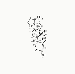 C=C1CCO[C@@]12CC[C@H]1[C@@H]3CCC4=C[C@H](O)CC[C@@H]4[C@H]3CC[C@@]12C